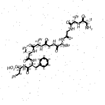 CC[C@H](C)[C@H](NC(=O)CNC(=O)[C@@H](NC(=O)[C@H](C)N)C(C)C)C(=O)NCC(=O)N[C@H](C(=O)N[C@@H](CC(C)C)C(=O)N[C@@H](Cc1ccccc1)C(=O)N[C@@H](CC(C)C)C(=O)O)C(C)C